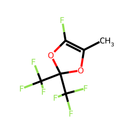 CC1=C(F)OC(C(F)(F)F)(C(F)(F)F)O1